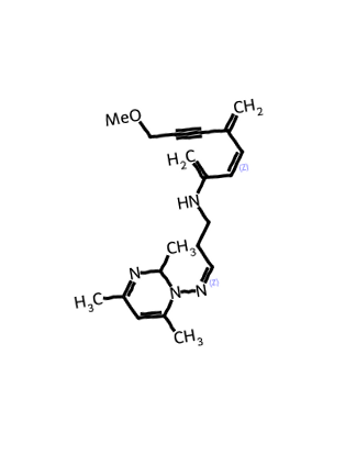 C=C(C#CCOC)/C=C\C(=C)NCC/C=N\N1C(C)=CC(C)=NC1C